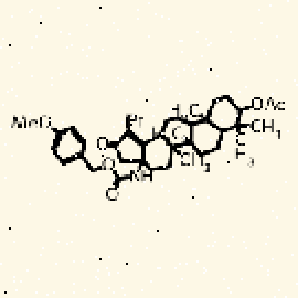 COc1ccc(COC(=O)NC23CCC4(C)C(CCC5C6(C)CCC(OC(C)=O)C(C)(C)C6CCC54C)C2=C(C(C)C)C(=O)C3)cc1